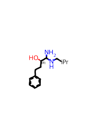 CC(C)CNC(N)[C@H](O)CCc1ccccc1